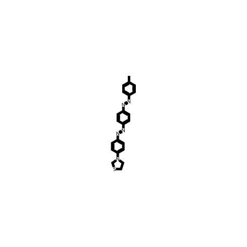 Cc1ccc(N=Nc2ccc(N=Nc3ccc(N4CCSC4)cc3)cc2)cc1